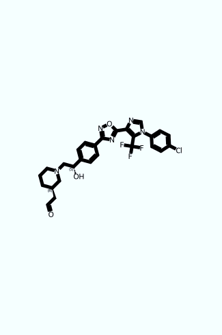 O=CC[C@H]1CCCN(C[C@@H](O)c2ccc(-c3noc(-c4ncn(-c5ccc(Cl)cc5)c4C(F)(F)F)n3)cc2)C1